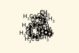 CC(=O)OC(C)C(=O)OC(C)C(=O)OC(C)C(=O)OC(C)C(=O)N1CCN(C(=O)C(C)OC(=O)C(C)OC(=O)C(C)OC(=O)C(C)OC(C)=O)C1=Nc1ccc2nccnc2c1Br